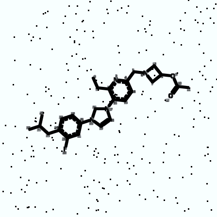 CCc1nc(CN2CC(OC(C)=O)C2)ccc1N1C=CN(c2ccc(CC(C)C)c(F)c2)C1